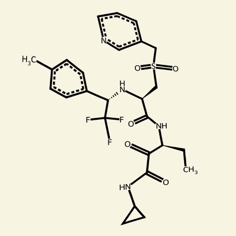 CC[C@H](NC(=O)[C@H](CS(=O)(=O)Cc1cccnc1)N[C@@H](c1ccc(C)cc1)C(F)(F)F)C(=O)C(=O)NC1CC1